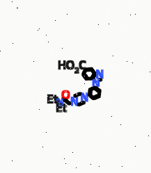 CCN(CC)C(=O)CN1CCN(c2cccc(-n3cnc4cc(C(=O)O)ccc43)c2)CC1